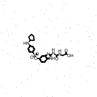 O=C(O)CNC(=O)Nc1nc2cc(OS(=O)(=O)c3ccc(NC4CCCC4)cc3)ccc2[nH]1